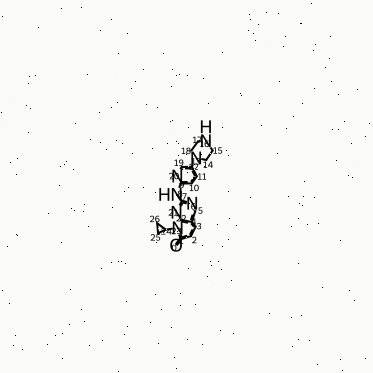 O=c1ccc2cnc(Nc3ccc(N4CCNCC4)cn3)nc2n1C1CC1